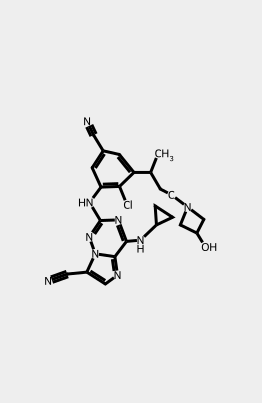 CC(CCN1CC(O)C1)c1cc(C#N)cc(Nc2nc(NC3CC3)c3ncc(C#N)n3n2)c1Cl